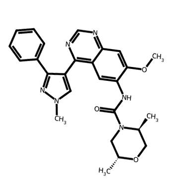 COc1cc2ncnc(-c3cn(C)nc3-c3ccccc3)c2cc1NC(=O)N1C[C@@H](C)OC[C@@H]1C